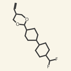 C=CC1COC(C2CCC(C3CCC(C(F)F)CC3)CC2)OC1